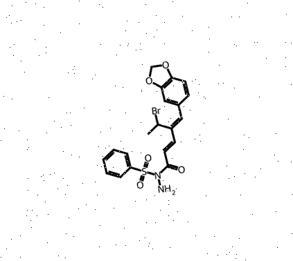 CC(Br)C(C=CC(=O)N(N)S(=O)(=O)c1ccccc1)=Cc1ccc2c(c1)OCO2